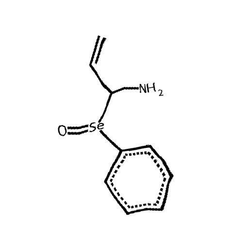 C=CC(N)[Se](=O)c1ccccc1